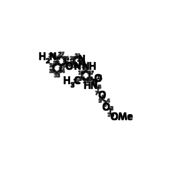 COCCOCCOCCNC(=O)c1cc(C)cc(Nc2nccc(Oc3ccc(N)c4ccccc34)n2)c1